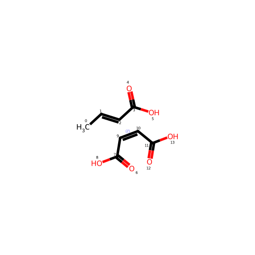 CC=CC(=O)O.O=C(O)/C=C\C(=O)O